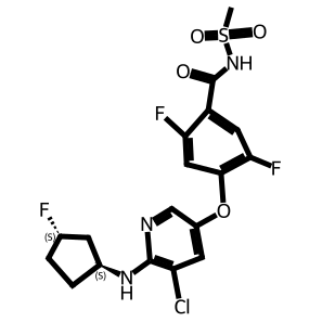 CS(=O)(=O)NC(=O)c1cc(F)c(Oc2cnc(N[C@H]3CC[C@H](F)C3)c(Cl)c2)cc1F